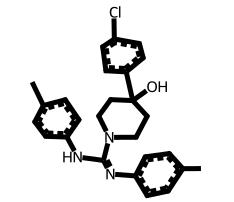 Cc1ccc(N=C(Nc2ccc(C)cc2)N2CCC(O)(c3ccc(Cl)cc3)CC2)cc1